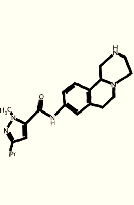 CC(C)c1cc(C(=O)Nc2ccc3c(c2)CCN2CCNCC32)n(C)n1